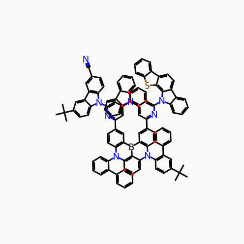 CC(C)(C)c1ccc(N2c3ccc(-c4cc(-n5c6ccccc6c6ccccc65)cc(-n5c6ccccc6c6ccc7c8ccccc8sc7c65)n4)cc3B3c4cc(-c5cc(-c6ccccc6)cc(-n6c7ccc(C#N)cc7c7cc(C(C)(C)C)ccc76)n5)ccc4N(c4ccccc4-c4ccccc4)c4cccc2c43)c(-c2ccccc2)c1